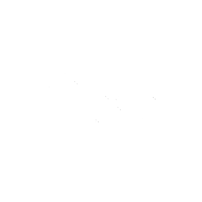 CC(C)(C)OC(=O)N1CCC(CN2Cc3ncccc3N(c3ccc(F)c(C#N)c3)C2=O)CC1